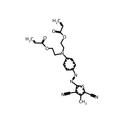 C=CC(=O)OCCN(CCOC(=O)C=C)c1ccc(/N=N/c2sc(C#N)c(C)c2C#N)cc1